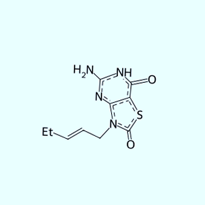 CCC=CCn1c(=O)sc2c(=O)[nH]c(N)nc21